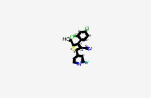 C#Cc1sc(-c2ccnc(F)c2)c(C#N)c1-c1ccc(Cl)cc1Cl